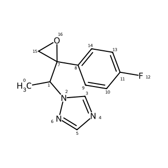 CC(n1cncn1)C1(c2ccc(F)cc2)CO1